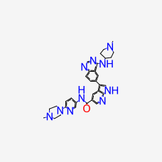 CN1CCC(Nc2ncnc3ccc(-c4c[nH]c5ncc(C(=O)Nc6ccc(N7CCN(C)CC7)nc6)cc45)cc23)CC1